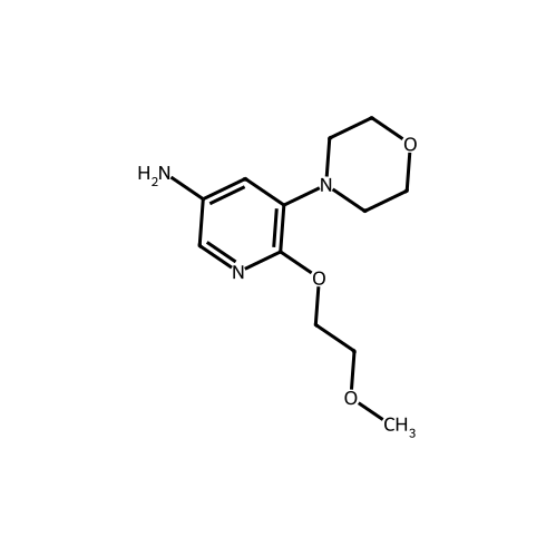 COCCOc1ncc(N)cc1N1CCOCC1